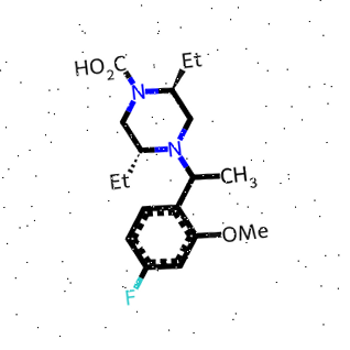 CC[C@H]1CN(C(C)c2ccc(F)cc2OC)[C@H](CC)CN1C(=O)O